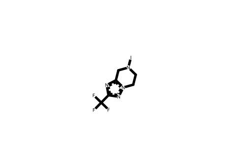 FC(F)(F)c1nc2n(n1)CCN(I)C2